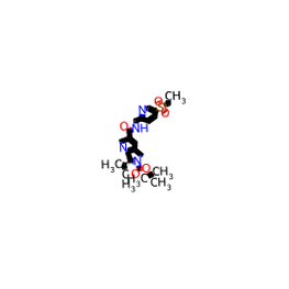 CCS(=O)(=O)c1ccc(CNC(=O)c2cnc3c(c2)CN(C(=O)OC(C)(C)C)[C@@H]3C(C)C)nc1